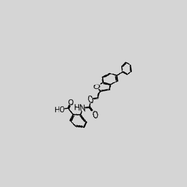 O=C(Nc1ccccc1C(=O)O)OCc1cc2cc(-c3ccccc3)ccc2o1